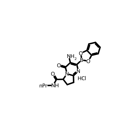 CCCNC(=O)C1CCc2nc(B3Oc4ccccc4O3)c(N)c(=O)n21.Cl